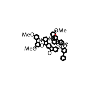 COc1ccc2c(c1)c1cc(OC)ccc1n2-c1ccc(-n2c3ccc(OC)cc3c3cc(OC)ccc32)c2c1c(=O)c1cc3c(=O)c4ccc(N5c6cc(-c7ccccc7)ccc6Oc6ccc(-c7ccccc7)cc65)cc4c3cc12